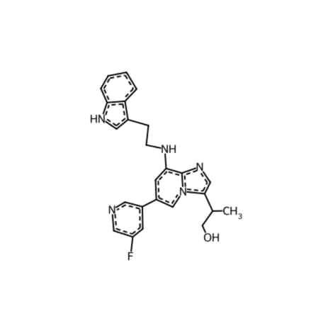 CC(CO)c1cnc2c(NCCc3c[nH]c4ccccc34)cc(-c3cncc(F)c3)cn12